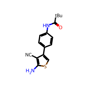 CC(C)(C)C(=O)Nc1ccc(-c2csc(N)c2C#N)cc1